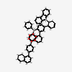 C1=CCC(n2c3ccccc3c3ccccc32)C(c2ccc(N(c3ccccc3)c3ccc(-c4ccc(-c5cccc6c5CCC=C6)cc4)cc3)c(-c3cccc4ccccc34)c2)=C1